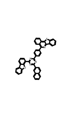 c1ccc2cc(-c3nc(-c4ccc(-c5nc6c7ccccc7sc6c6ccccc56)cc4)nc(-c4cccc5c4oc4ccccc45)n3)ccc2c1